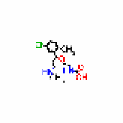 CNCCC(OCCNC(=O)O)c1cc(Cl)ccc1C